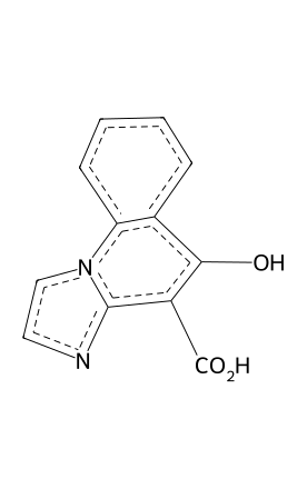 O=C(O)c1c(O)c2ccccc2n2ccnc12